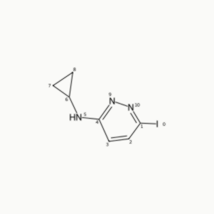 Ic1ccc(NC2CC2)nn1